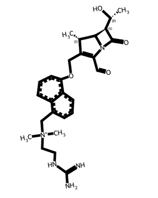 C[C@H]1C(COc2cccc3c(C[N+](C)(C)CCNC(=N)N)cccc23)=C(C=O)N2C(=O)[C@H]([C@@H](C)O)C12